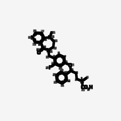 CN(CCC(Oc1ccc(CN2CCN(C)c3ccncc3C2=O)c(F)c1)c1ccccc1)C(=O)O